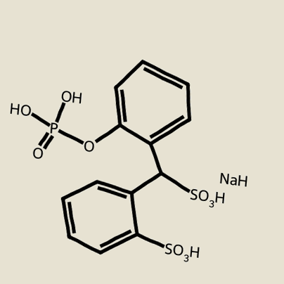 O=P(O)(O)Oc1ccccc1C(c1ccccc1S(=O)(=O)O)S(=O)(=O)O.[NaH]